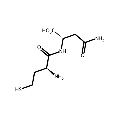 NC(=O)C[C@H](NC(=O)[C@@H](N)CCS)C(=O)O